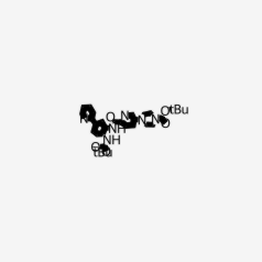 CC(C)(C)OC(=O)Nc1ccc(-c2ccccn2)cc1NC(=O)c1ccc(N2CCN(C(=O)OC(C)(C)C)CC2)cn1